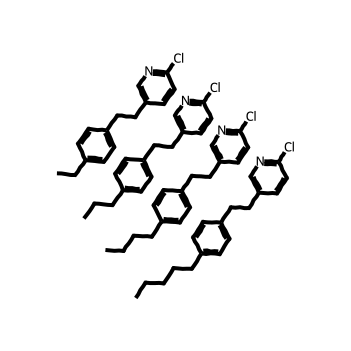 CCCCCc1ccc(CCc2ccc(Cl)nc2)cc1.CCCCc1ccc(CCc2ccc(Cl)nc2)cc1.CCCc1ccc(CCc2ccc(Cl)nc2)cc1.CCc1ccc(CCc2ccc(Cl)nc2)cc1